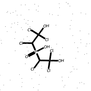 O=P(O)(C(Cl)C(O)(Cl)Cl)C(Cl)C(O)(Cl)Cl